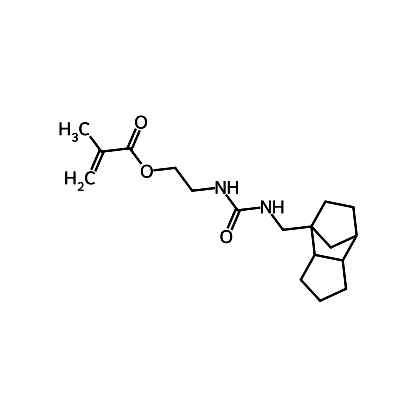 C=C(C)C(=O)OCCNC(=O)NCC12CCC(C1)C1CCCC12